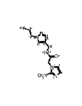 O=C(Cn1ccnc1[N+](=O)[O-])NCc1cn(CCF)nn1